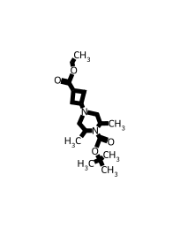 CCOC(=O)C1CC(N2CC(C)N(C(=O)OC(C)(C)C)C(C)C2)C1